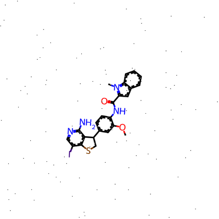 COc1cc(C2CSc3c(I)cnc(N)c32)ccc1NC(=O)c1cc2ccccc2n1C